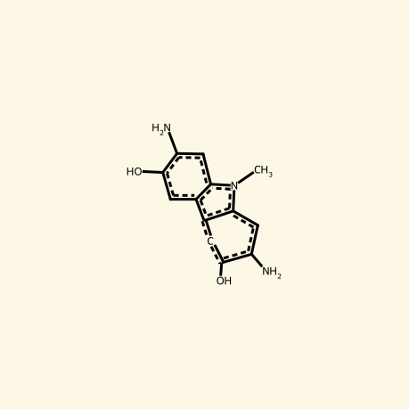 Cn1c2cc(N)c(O)cc2c2cc(O)c(N)cc21